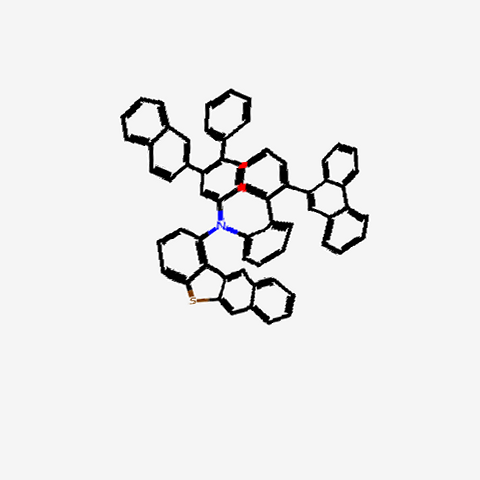 c1ccc(-c2ccc(N(c3ccccc3-c3ccccc3-c3cc4ccccc4c4ccccc34)c3cccc4sc5cc6ccccc6cc5c34)cc2-c2ccc3ccccc3c2)cc1